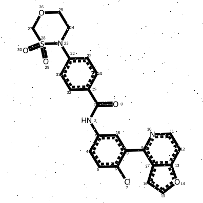 O=C(Nc1ccc(Cl)c(-c2nccc3occc23)c1)c1ccc(N2CCOCS2(=O)=O)cc1